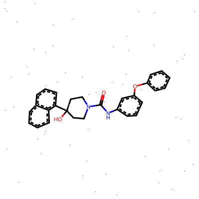 O=C(Nc1cccc(Oc2ccccc2)c1)N1CCC(O)(c2cccc3ccccc23)CC1